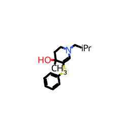 CC(C)CN1C=C(Sc2ccccc2)C(C)(O)CC1